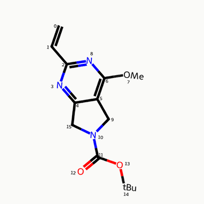 C=Cc1nc2c(c(OC)n1)CN(C(=O)OC(C)(C)C)C2